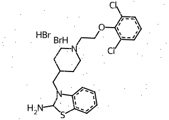 Br.Br.NC1Sc2ccccc2N1CC1CCN(CCOc2c(Cl)cccc2Cl)CC1